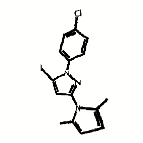 Cc1ccc(C)n1-c1cc(I)n(-c2ccc(Cl)cc2)n1